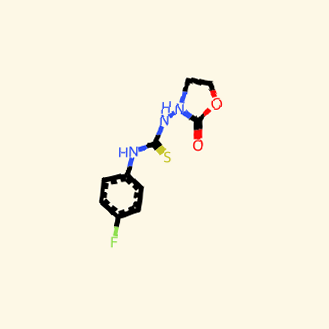 O=C1OCCN1NC(=S)Nc1ccc(F)cc1